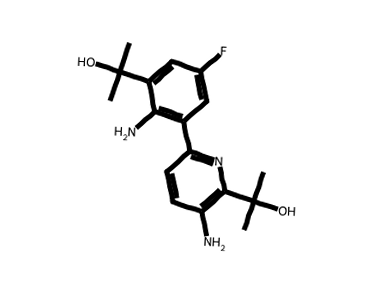 CC(C)(O)c1cc(F)cc(-c2ccc(N)c(C(C)(C)O)n2)c1N